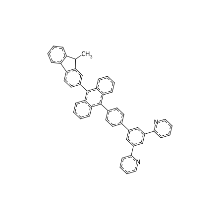 CC1c2ccccc2-c2ccc(-c3c4ccccc4c(-c4ccc(-c5cc(-c6ccccn6)cc(-c6ccccn6)c5)cc4)c4ccccc34)cc21